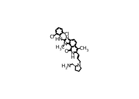 Cc1c(C=CCN2CCC[C@H]2CN)[nH]c(=O)c2c1ccc1nc(Nc3c(Cl)cccc3Cl)n(C)c12